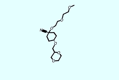 COCCOCCO[C@]1(C#N)CC[C@H](OCC2COCCO2)CC1